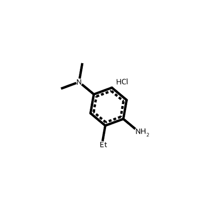 CCc1cc(N(C)C)ccc1N.Cl